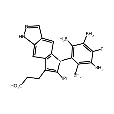 Bc1c(B)c(-n2c(C(C)C)c(CCC(=O)O)c3cc4[nH]ncc4cc32)c(B)c(B)c1F